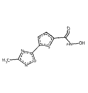 Cc1noc(-c2ccc(C(=O)NO)s2)n1